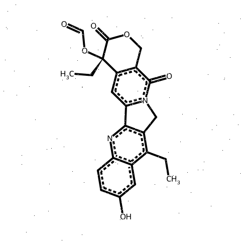 CCc1c2c(nc3ccc(O)cc13)-c1cc3c(c(=O)n1C2)COC(=O)[C@@]3(CC)OC=O